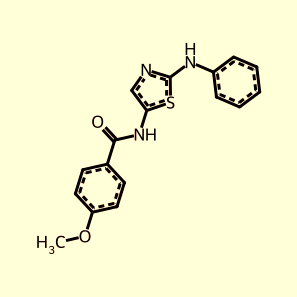 COc1ccc(C(=O)Nc2cnc(Nc3ccccc3)s2)cc1